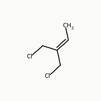 CC=C(CCl)CCl